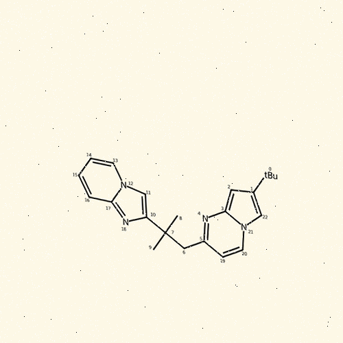 CC(C)(C)c1cc2nc(CC(C)(C)c3cn4ccccc4n3)ccn2c1